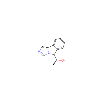 C[C@H](O)C1c2ccccc2-c2cncn21